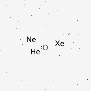 [He].[Ne].[O].[Xe]